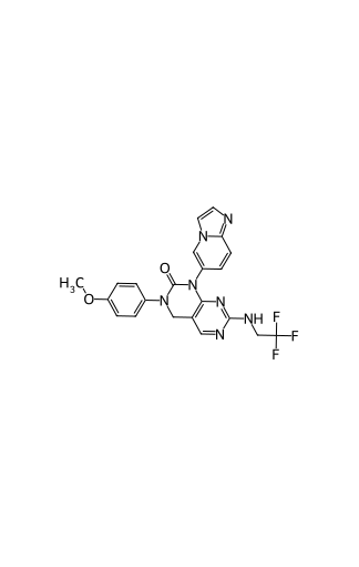 COc1ccc(N2Cc3cnc(NCC(F)(F)F)nc3N(c3ccc4nccn4c3)C2=O)cc1